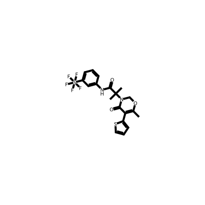 CC1=C(c2cccs2)C(=O)N(C(C)(C)C(=O)Nc2cccc(S(F)(F)(F)(F)F)c2)CO1